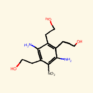 Nc1c(CCO)c(CCO)c(N)c([N+](=O)[O-])c1CCO